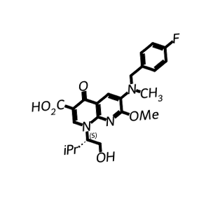 COc1nc2c(cc1N(C)Cc1ccc(F)cc1)c(=O)c(C(=O)O)cn2[C@H](CO)C(C)C